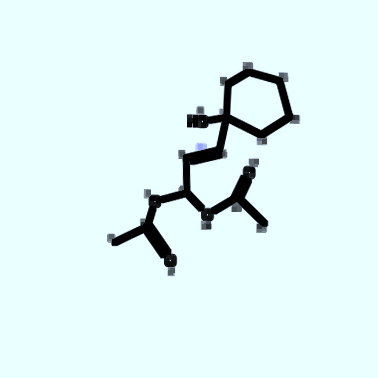 CC(=O)OC(/C=C/C1(O)CCCCC1)OC(C)=O